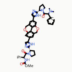 COC(=O)NC(C(=O)N1CCC[C@H]1c1ncc(-c2cc3c4c(c2)OCc2cc(-c5cnc([C@@H]6CCCN6C(=O)C(c6ccccc6)N(C)C)[nH]5)cc(c2-4)OC3)[nH]1)C(C)C